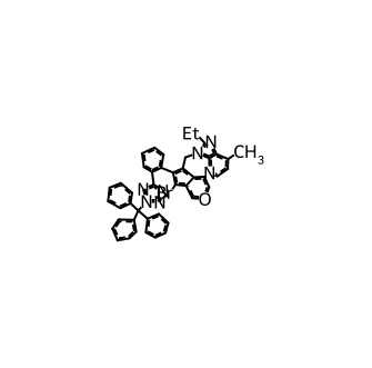 CCc1nc2c(C)ccnc2n1Cc1c2ccocc-2c(Br)c1-c1ccccc1-c1nnn(C(c2ccccc2)(c2ccccc2)c2ccccc2)n1